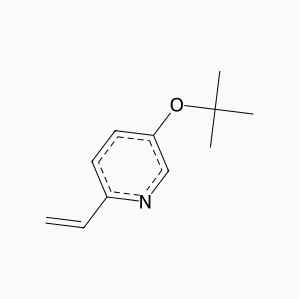 C=Cc1ccc(OC(C)(C)C)cn1